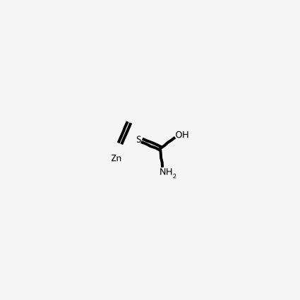 C=C.NC(O)=S.[Zn]